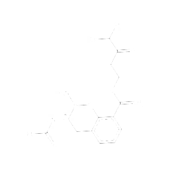 C=C(OCCC(=O)C(CC)CC)c1cccc2c1OB(N)[C@@H](NC(=O)CC)C2